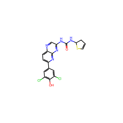 O=C(Nc1cnc2ccc(-c3cc(Cl)c(O)c(Cl)c3)nc2n1)NC1CC=CS1